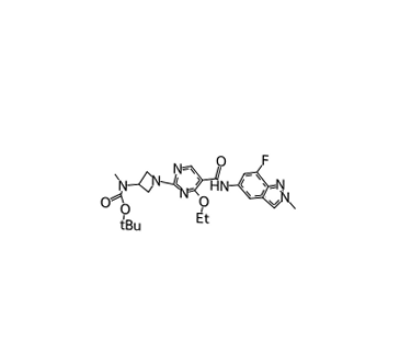 CCOc1nc(N2CC(N(C)C(=O)OC(C)(C)C)C2)ncc1C(=O)Nc1cc(F)c2nn(C)cc2c1